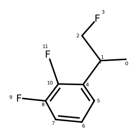 C[C](CF)c1cccc(F)c1F